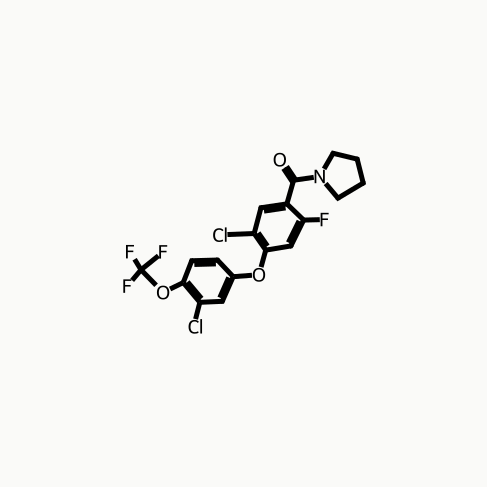 O=C(c1cc(Cl)c(Oc2ccc(OC(F)(F)F)c(Cl)c2)cc1F)N1CCCC1